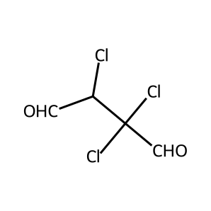 O=CC(Cl)C(Cl)(Cl)C=O